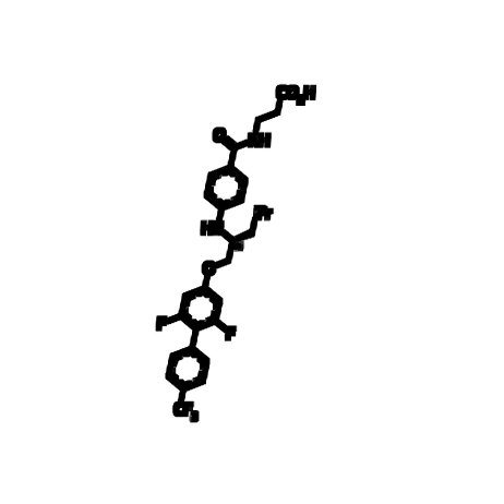 CC(C)C[C@@H](COc1cc(F)c(-c2ccc(C(F)(F)F)cc2)c(F)c1)Nc1ccc(C(=O)NCCC(=O)O)cc1